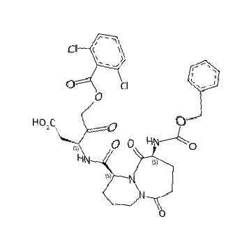 O=C(O)C[C@H](NC(=O)[C@@H]1CCCN2C(=O)CC[C@H](NC(=O)OCc3ccccc3)C(=O)N12)C(=O)COC(=O)c1c(Cl)cccc1Cl